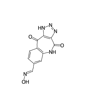 O=c1[nH]c2cc(C=NO)ccc2c(=O)c2[nH]nnc12